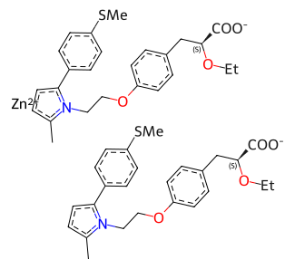 CCO[C@@H](Cc1ccc(OCCn2c(C)ccc2-c2ccc(SC)cc2)cc1)C(=O)[O-].CCO[C@@H](Cc1ccc(OCCn2c(C)ccc2-c2ccc(SC)cc2)cc1)C(=O)[O-].[Zn+2]